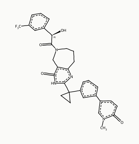 Cn1cc(-c2cccc(C3(c4nc5c(c(=O)[nH]4)CN(C(=O)[C@H](O)c4cccc(C(F)(F)F)c4)CCC5)CC3)c2)ccc1=O